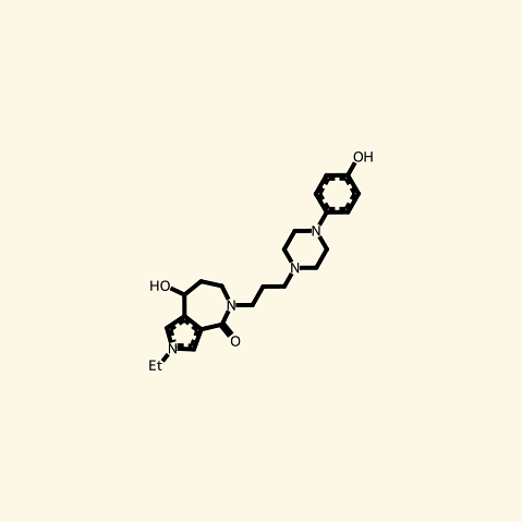 CCn1cc2c(c1)C(O)CCN(CCCN1CCN(c3ccc(O)cc3)CC1)C2=O